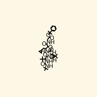 CC(C)(C)NC(=O)N[C@H](C(=O)N1C[C@H]2[C@@H]([C@H]1C(=O)NC(CC1CC1)C(=O)C(=O)NCC(=O)OC(C)(C)c1ccccc1)C2(C)C)C(C)(C)C